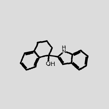 OC1(c2cc3ccccc3[nH]2)CCCc2ccccc21